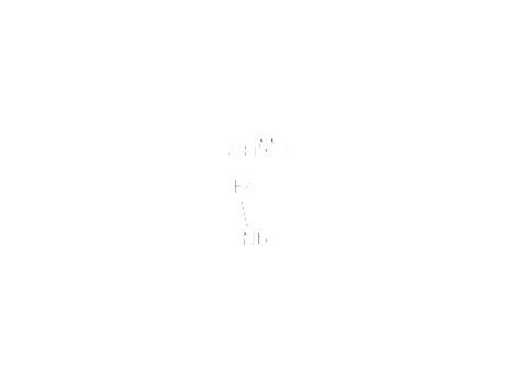 [AlH3].[Fe][Nb].[Mo]